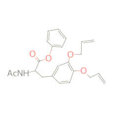 C=CCOc1ccc(CC(NC(C)=O)C(=O)Oc2ccccc2)cc1OCC=C